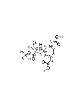 COC(=O)CN1CCN(CC(=O)OC)CC(CCC(=O)OC(C)(C)C)(NCC(C)=O)C1